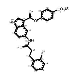 CCOC(=O)c1ccc(OC(=O)c2c[nH]c3ccc(NC(=O)CCc4ccccc4F)cc23)cc1